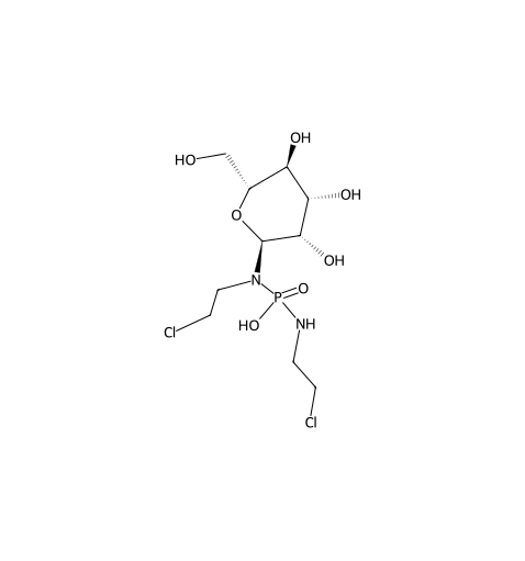 O=P(O)(NCCCl)N(CCCl)[C@H]1O[C@H](CO)[C@@H](O)[C@H](O)[C@@H]1O